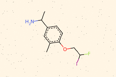 Cc1cc(C(C)N)ccc1OCC(F)I